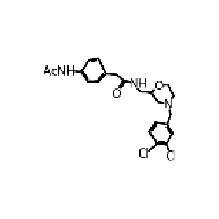 CC(=O)Nc1ccc(CC(=O)NCC2CN(Cc3ccc(Cl)c(Cl)c3)CCO2)cc1